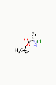 C[C@H](NCl)C(=O)OCC1(C)CC1